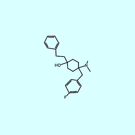 CN(C)C1(Cc2ccc(F)cc2)CCC(O)(CCc2ccccc2)CC1